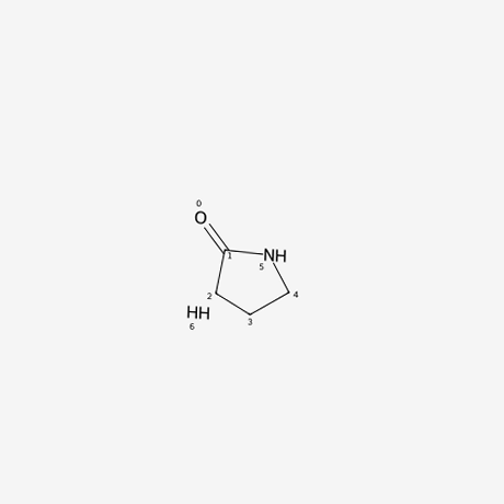 O=C1CCCN1.[HH]